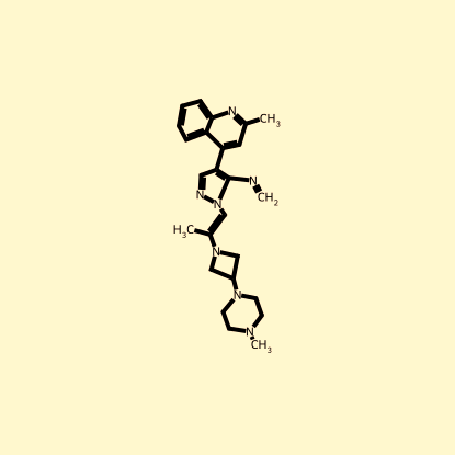 C=Nc1c(-c2cc(C)nc3ccccc23)cnn1/C=C(\C)N1CC(N2CCN(C)CC2)C1